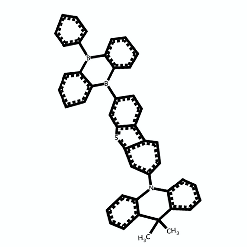 CC1(C)c2ccccc2N(c2ccc3c(c2)sc2cc(B4c5ccccc5B(c5ccccc5)c5ccccc54)ccc23)c2ccccc21